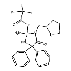 NC1(OC(=O)C(F)(F)F)NC(c2ccccc2)(c2ccccc2)C(=O)N1CC1CCCO1